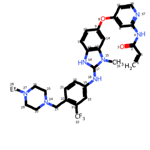 C=CC(=O)Nc1cc(Oc2ccc3c(c2)N(C)C(Nc2ccc(CN4CCN(CC)CC4)c(C(F)(F)F)c2)N3)ccn1